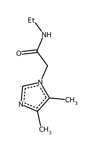 CCNC(=O)Cn1[c]nc(C)c1C